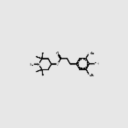 CCCCc1cc(CCC(=O)OC2CC(C)(C)N(O)C(C)(C)C2)cc(CCCC)c1O